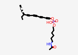 C=C=C=C(C#CC#CC#CC#COP(=O)(O)OCCCCCCNC(C)=O)CC